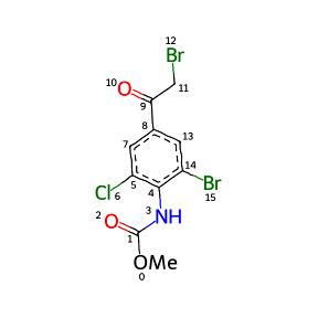 COC(=O)Nc1c(Cl)cc(C(=O)CBr)cc1Br